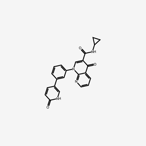 O=C(NC1CC1)c1cn(-c2cccc(-c3ccc(=O)[nH]c3)c2)c2ncccc2c1=O